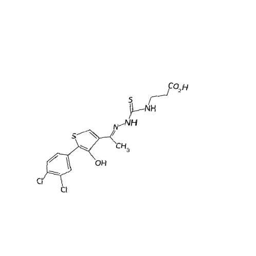 CC(=NNC(=S)NCCC(=O)O)c1csc(-c2ccc(Cl)c(Cl)c2)c1O